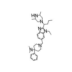 CCCC(c1nc2ccc(CN3CCC(c4ccccc4)(N(C)C)CC3)cc2n1CC)N1CC(C)NC(C)C1